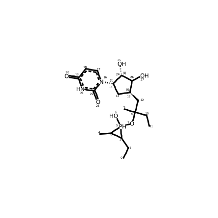 CCC1C(C)[PH]1(O)OC(C)(CC)C[C@H]1C[C@H](n2ccc(=O)[nH]c2=O)[C@H](O)C1O